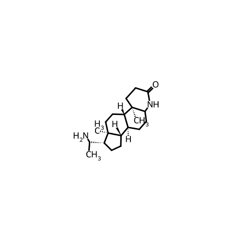 CC(N)[C@H]1CC[C@H]2[C@@H]3CCC4NC(=O)CC[C@]4(C)[C@H]3CC[C@]12C